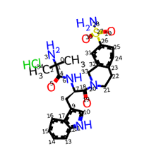 CC(C)(N)C(=O)N[C@H](Cc1c[nH]c2ccccc12)C(=O)N1CCc2ccc(S(N)(=O)=O)cc2C1.Cl